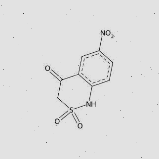 O=C1CS(=O)(=O)Nc2ccc([N+](=O)[O-])cc21